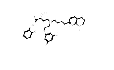 Cc1ccccc1OOC(=O)[C@@H](N)CCN(CCCCc1ccc2c(n1)NCCC2)CCOc1cc(F)cc(F)c1